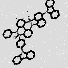 O=P1(c2ccc(-n3c4ccccc4c4ccccc43)cc2)c2cccc3c2-c2c(cccc2P(=O)(c2ccc(-n4c5ccccc5c5ccccc54)cc2)N3c2ccccc2)N1c1ccccc1